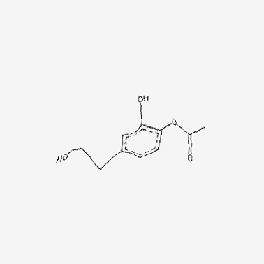 CC(=O)Oc1ccc(CCO)cc1O